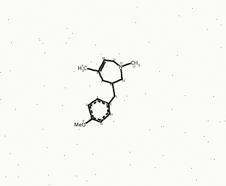 COc1ccc(CC2CC(C)=CCN(C)C2)cc1